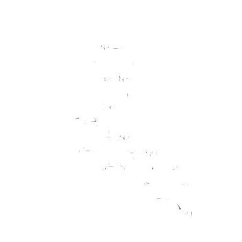 CN1CCN(C)C(COc2cccc3cnc(N[C@H]4CC[C@H](O)CC4)nc23)C1